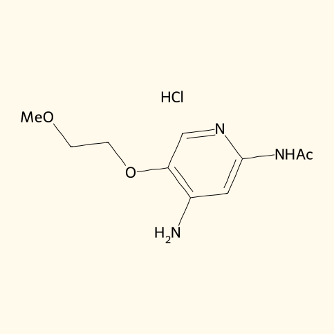 COCCOc1cnc(NC(C)=O)cc1N.Cl